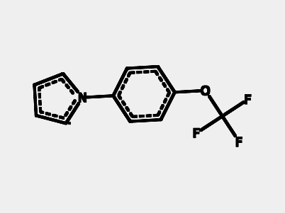 FC(F)(F)Oc1ccc(-n2[c]ccc2)cc1